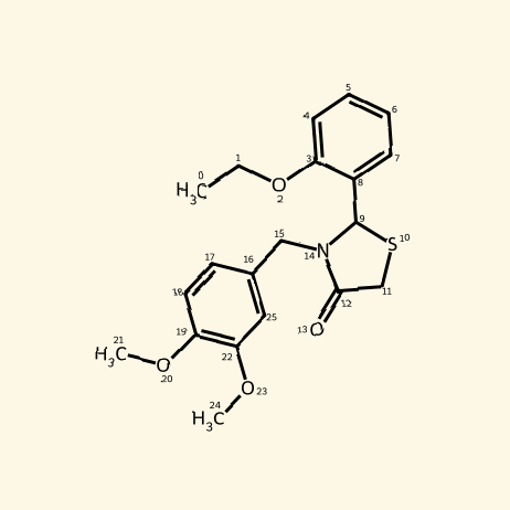 CCOc1ccccc1C1SCC(=O)N1Cc1ccc(OC)c(OC)c1